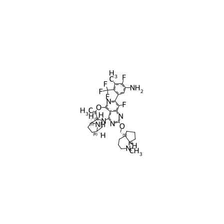 Cc1c(F)c(N)cc(-c2nc3c4c(nc(OC[C@]56CCC[C@@H]5N(C)CCC6)nc4c2F)N2C[C@H]4CC[C@H](N4)[C@H]2[C@H](C)O3)c1C(F)(F)F